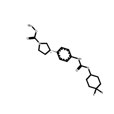 CC(C)(C)OC(=O)N1CC[C@@H](c2ccc(NC(=O)OC3CCC(F)(F)CC3)cc2)C1